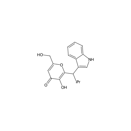 CC(C)C(c1oc(CO)cc(=O)c1O)c1c[nH]c2ccccc12